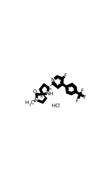 CN1CC[C@]2(CC[C@H](c3cc(-c4ccc(C(F)(F)F)cc4)c(F)cn3)N2)C1=O.Cl